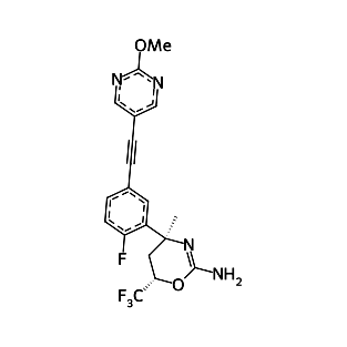 COc1ncc(C#Cc2ccc(F)c([C@]3(C)C[C@@H](C(F)(F)F)OC(N)=N3)c2)cn1